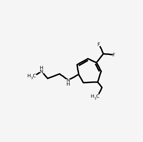 CCC1C=C(C(F)F)C=CC(NCCNC)C1